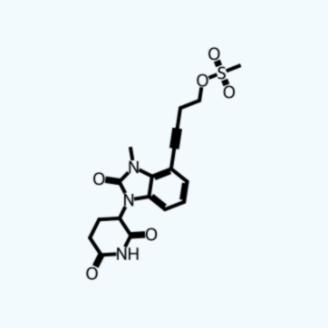 Cn1c(=O)n(C2CCC(=O)NC2=O)c2cccc(C#CCCOS(C)(=O)=O)c21